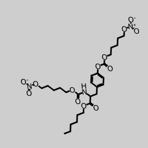 CCCCCCOC(=O)C(Cc1ccc(OC(=O)OCCCCCO[N+](=O)[O-])cc1)NC(=O)OCCCCCO[N+](=O)[O-]